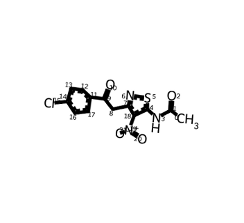 CC(=O)Nc1snc(CC(=O)c2ccc(Cl)cc2)c1[N+](=O)[O-]